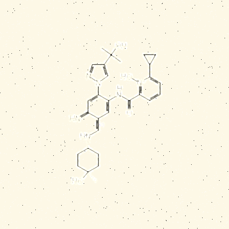 CC(C)(O)c1cnn(C2=CC(=N)/C(=C\N[C@H]3CC[C@](C)(O)CC3)C=C2NC(=O)c2cccc(C3CC3)[n+]2O)c1